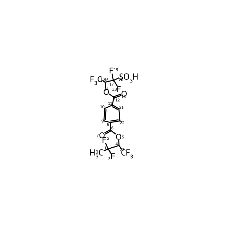 CC(F)(F)C(OC(=O)c1ccc(C(=O)OC(C(F)(F)F)C(F)(F)S(=O)(=O)O)cc1)C(F)(F)F